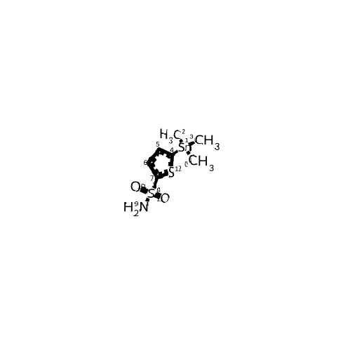 [CH3][Sn]([CH3])([CH3])[c]1ccc(S(N)(=O)=O)s1